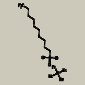 CC[N+](CC)(CC)CC.O=S(=O)([O-])CCCCCCCCCC(F)(F)F